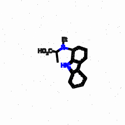 CCN(c1cccc2c1[nH]c1ccccc12)[C@@H](C)C(=O)O